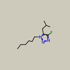 CCCCCCn1nnc(F)c1CC(C)C